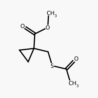 COC(=O)C1(CSC(C)=O)CC1